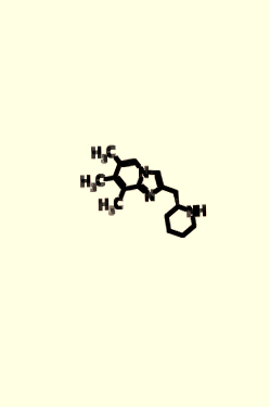 Cc1cn2cc(C[C@@H]3CCCCN3)nc2c(C)c1C